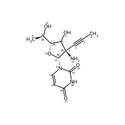 CC#C[C@@]1(N)C(O)[C@@H]([C@@H](C)O)O[C@H]1n1ccc(=O)[nH]c1=O